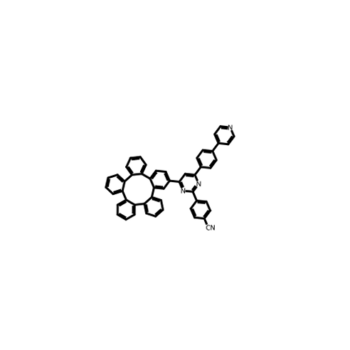 N#Cc1ccc(-c2nc(-c3ccc(-c4ccncc4)cc3)cc(-c3ccc4c5ccccc5c5ccccc5c5ccccc5c5ccccc5c4c3)n2)cc1